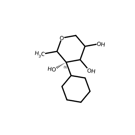 CC1OCC(O)C(O)[C@@]1(O)C1CCCCC1